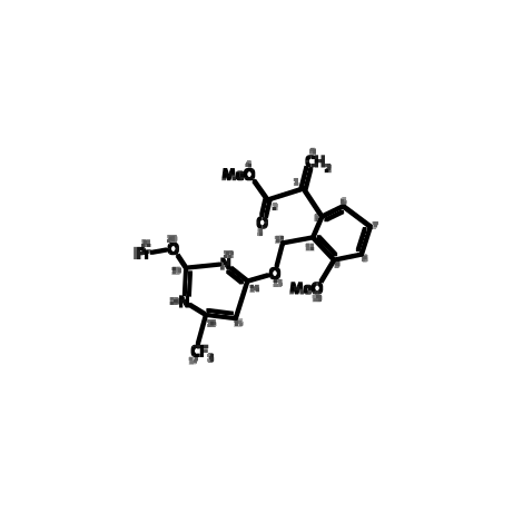 C=C(C(=O)OC)c1cccc(OC)c1COc1cc(C(F)(F)F)nc(OC(C)C)n1